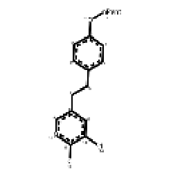 CCCCCOc1ccc(CCc2cnc(Cl)c(Cl)c2)cc1